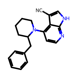 N#Cc1c[nH]c2nccc(N3CCCCC3Cc3ccccc3)c12